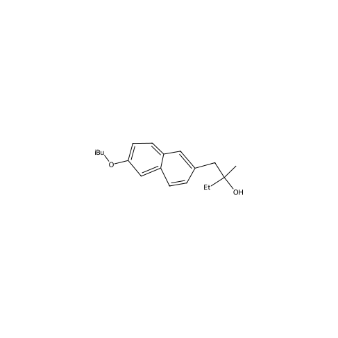 CCC(C)Oc1ccc2cc(CC(C)(O)CC)ccc2c1